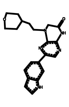 O=C1CN(CCC2CCOCC2)c2nc(-c3ccc4cc[nH]c4c3)cnc2N1